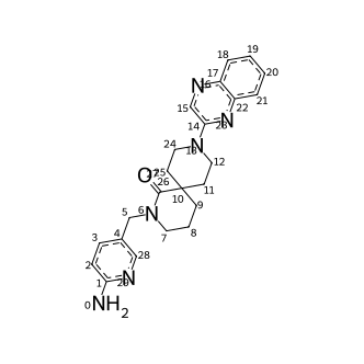 Nc1ccc(CN2CCCC3(CCN(c4cnc5ccccc5n4)CC3)C2=O)cn1